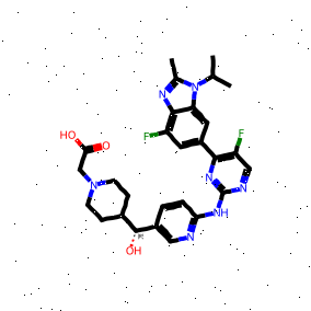 Cc1nc2c(F)cc(-c3nc(Nc4ccc([C@H](O)C5CCN(CC(=O)O)CC5)cn4)ncc3F)cc2n1C(C)C